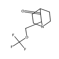 O=C1C2CCN(CC2)C1COC(F)(F)F